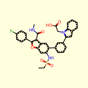 CCS(=O)(=O)Nc1cc2oc(-c3ccc(F)cc3)c(C(=O)NC)c2cc1-c1cccc(-c2cc3ccccc3n2CC(=O)O)c1